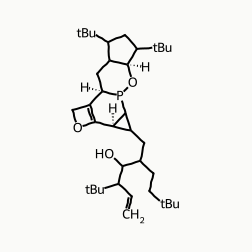 C=CC(C(O)C(CCC(C)(C)C)CC1C2[C@@H]1C1=C(CO1)[C@H]1CC3C(C(C)(C)C)CC(C(C)(C)C)[C@H]3OP21)C(C)(C)C